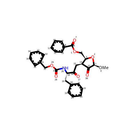 CO[C@@H]1O[C@H](COC(=O)c2ccccc2)[C@H](CC(=O)[C@H](Cc2ccccc2)NC(=O)OCc2ccccc2)C1=O